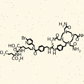 NC(=O)CN1CCN(CC(N)=O)CCN(CC(N)=O)C(Cc2ccc(NC(=S)NCc3ccc(C(=O)N(CCCCC(NC(=O)N[C@H](CCC(=O)O)C(=O)O)C(=O)O)Cc4ccc(Br)nc4)cc3)cc2)CN(CC(N)=O)CC1